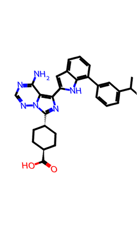 CC(C)c1cccc(-c2cccc3cc(-c4nc([C@H]5CC[C@H](C(=O)O)CC5)n5ncnc(N)c45)[nH]c23)c1